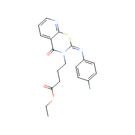 CCOC(=O)CCCn1c(=Nc2ccc(Cl)cc2)sc2ncccc2c1=O